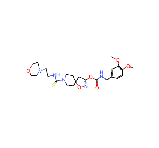 COc1ccc(CNC(=O)OC2=NOC3(CCN(C(=S)NCCN4CCOCC4)CC3)C2)cc1OC